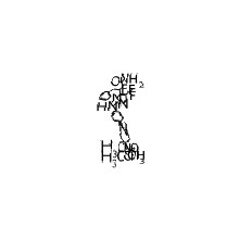 CC(C)(C)N(C(=O)O)C1CCN(c2ccc(Nc3ncc(C(F)(F)F)c(C(CC(N)=O)Cc4ccccc4)n3)cc2)CC1